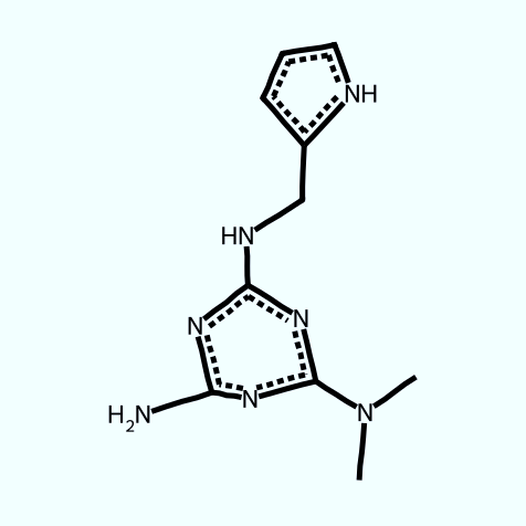 CN(C)c1nc(N)nc(NCc2ccc[nH]2)n1